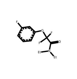 CCN(CC)C(=O)C(F)(F)Oc1cccc(F)c1